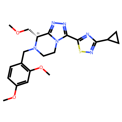 COC[C@@H]1c2nnc(-c3nc(C4CC4)ns3)n2CCN1Cc1ccc(OC)cc1OC